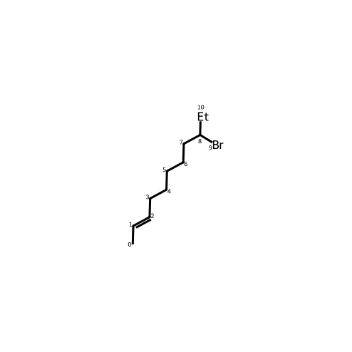 C/C=C/CCCCCC(Br)CC